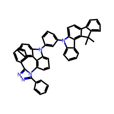 CC1(C)c2ccccc2-c2ccc3c(c21)c1ccccc1n3-c1cccc(-n2c3ccccc3c3c(-n4c(-c5ccccc5)nnc4-c4ccccc4)cccc32)c1